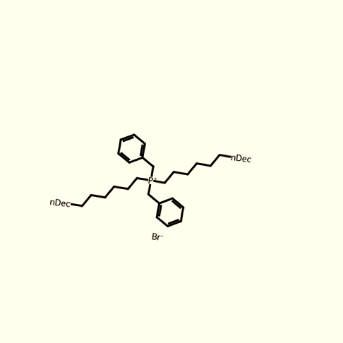 CCCCCCCCCCCCCCCC[P+](CCCCCCCCCCCCCCCC)(Cc1ccccc1)Cc1ccccc1.[Br-]